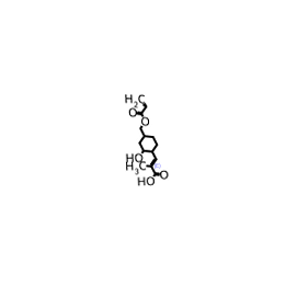 C=CC(=O)OCC1CCC(/C=C(\C)C(=O)O)C(O)C1